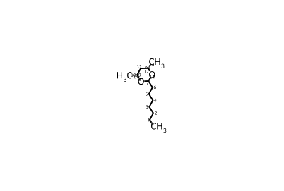 CCCCCCCC1O[C@@H](C)C[C@H](C)O1